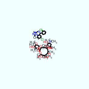 CC[C@H]1OC(=O)[C@H](C)[C@@H](O[C@H]2C[C@@](C)(OC)[C@@H](O)[C@H](C)O2)[C@H](C)[C@@H](O[C@@H]2O[C@H](C)C[C@H](N(C)C)[C@H]2O)[C@](C)(O)C[C@@H](C)C(=O)[C@H](C)[C@@H](O)[C@]1(C)O.Cc1nnc2n1-c1ccc(Cl)cc1C(c1ccccc1Cl)=NC2